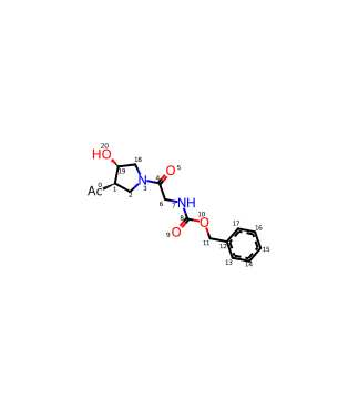 CC(=O)[C@@H]1CN(C(=O)CNC(=O)OCc2ccccc2)C[C@@H]1O